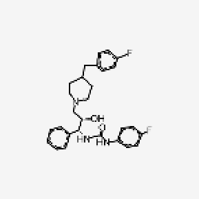 O=C(Nc1ccc(F)cc1)N[C@H](c1ccccc1)[C@H](O)CN1CCC(Cc2ccc(F)cc2)CC1